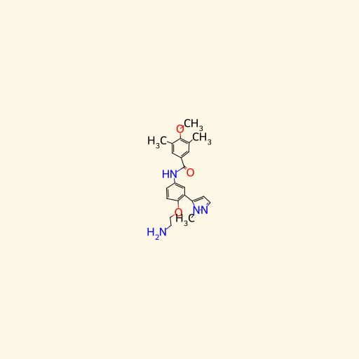 COc1c(C)cc(C(=O)Nc2ccc(OCCN)c(-c3ccnn3C)c2)cc1C